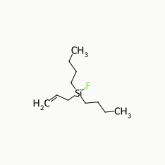 C=CC[Si](F)(CCCC)CCCC